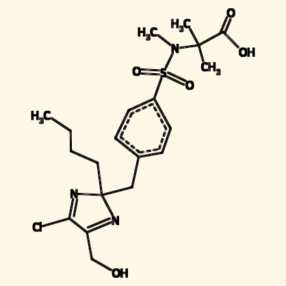 CCCCC1(Cc2ccc(S(=O)(=O)N(C)C(C)(C)C(=O)O)cc2)N=C(Cl)C(CO)=N1